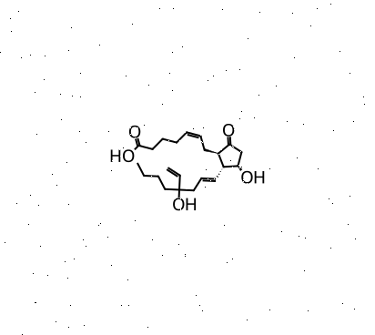 C=CC(O)(C/C=C/[C@H]1[C@H](O)CC(=O)[C@@H]1C/C=C\CCCC(=O)O)CCCC